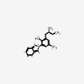 CCC(C)Cc1cc(C)cc(-n2nc3ccccc3n2)c1O